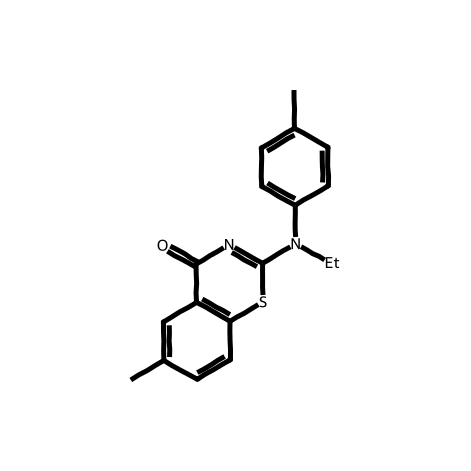 CCN(c1ccc(C)cc1)c1nc(=O)c2cc(C)ccc2s1